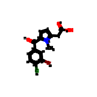 Cn1c(CC(=O)O)ccc1C(=O)c1ccc(Cl)c(Br)c1